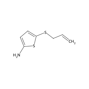 C=CCSc1ccc(N)s1